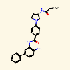 COCC(=O)N[C@H]1CCN(c2ccc(C(=O)Nc3cc(-c4ccccc4)ccc3N)cc2)C1